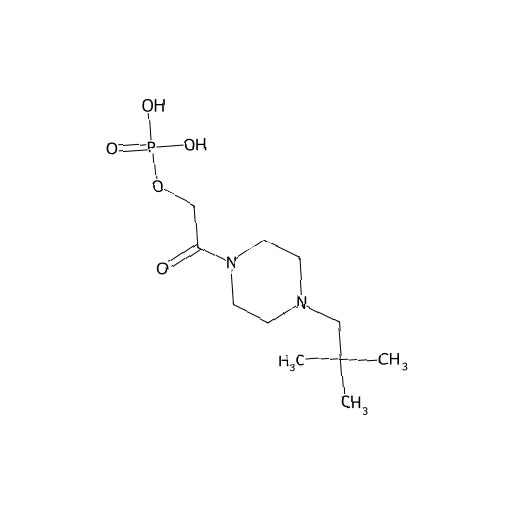 CC(C)(C)CN1CCN(C(=O)COP(=O)(O)O)CC1